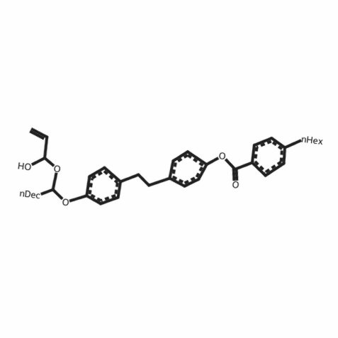 C=CC(O)OC(CCCCCCCCCC)Oc1ccc(CCc2ccc(OC(=O)c3ccc(CCCCCC)cc3)cc2)cc1